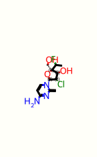 C=C1N=C(N)C=CN1[C@@H]1O[C@@](CO)(C(C)F)[C@@H](O)[C@H]1Cl